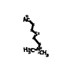 CC(=O)CCSCCN(C)C